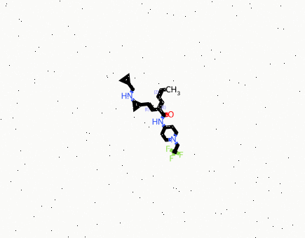 C\C=C/C=C(\C=C\C1CC1NCC1CC1)C(=O)NC1CCN(CC(F)(F)F)CC1